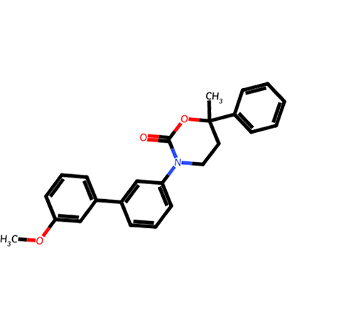 COc1cccc(-c2cccc(N3CCC(C)(c4ccccc4)OC3=O)c2)c1